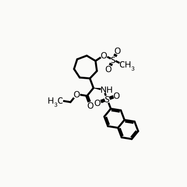 CCOC(=O)[C@H](NS(=O)(=O)c1ccc2ccccc2c1)C1CCCCC(OS(C)(=O)=O)C1